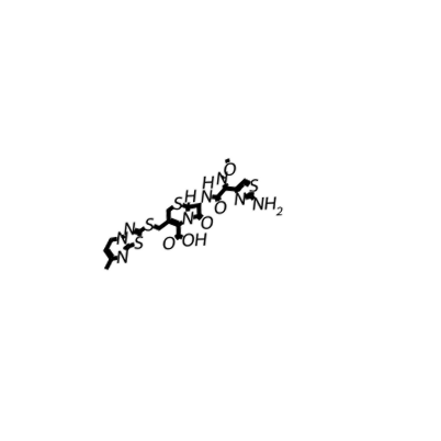 CON=C(C(=O)N[C@@H]1C(=O)N2C(C(=O)O)=C(CSC3=NN4CC=C(C)N=C4S3)CS[C@H]12)c1csc(N)n1